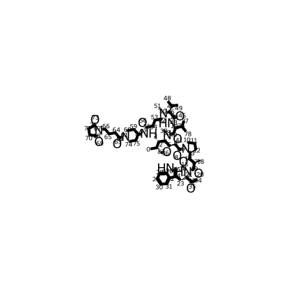 CC[C@H](C)[C@@H]([C@@H](CC(=O)N1CCC[C@H]1[C@H](OC)[C@@H](C)C(=O)N[C@@H](Cc1c[nH]c2ccccc12)C(C)=O)OC)N(C)C(=O)[C@@H](NC(=O)[C@H](C(C)C)N(C)CCCC(=O)NC1CCN(C(=O)CCCN2C(=O)CCC2=O)CC1)C(C)C